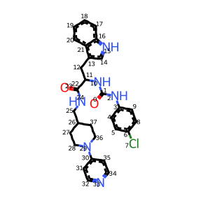 O=C(Nc1ccc(Cl)cc1)NC(Cc1c[nH]c2ccccc12)C(=O)NCC1CCN(c2ccncc2)CC1